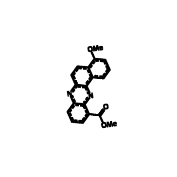 COC(=O)c1cccc2nc3ccc4c(OC)cccc4c3nc12